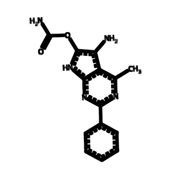 Cc1nc(-c2ccccc2)nc2[nH]c(OC(N)=O)c(N)c12